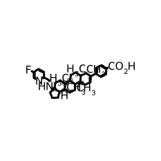 CC1(C)C(c2ccc(C(=O)O)cc2)=CC[C@@]2(C)C1CC[C@]1(C)C2CC[C@@H]2C3CCC[C@]3(NCc3ccc(F)cn3)CC[C@]21C